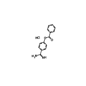 Cl.N=C(N)c1ccc(OC(=O)c2ccccc2)cc1